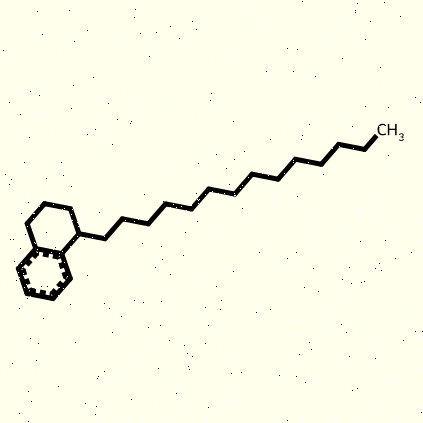 CCCCCCCCCCCCCCC1CCCc2ccccc21